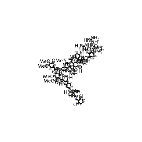 COC(=O)[C@H]1[C@H]2C[C@@H]3c4[nH]c5cc(OC)ccc5c4CCN3C[C@H]2C[C@@H](OC(=O)c2cc(OC)c(OC)c(OC)c2)[C@@H]1OC.COc1nc(C)nc(Cl)c1NC1=NCCN1.C[C@](N)(Cc1ccc(O)c(O)c1)C(=O)O.Clc1cccc(Cl)c1N=C1NCCN1.N=C(N)N/N=C/c1c(Cl)cccc1Cl.N=C(N)NC(=O)Cc1c(Cl)cccc1Cl.N=C(N)NCC1COC2(CCCCC2)O1